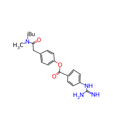 CCC(C)N(C)C(=O)Cc1ccc(OC(=O)c2ccc(NC(=N)N)cc2)cc1